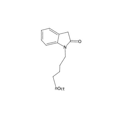 CCCCCCCCCCCCN1C(=O)Cc2ccccc21